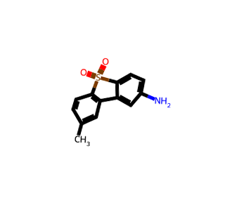 Cc1ccc2c(c1)-c1cc(N)ccc1S2(=O)=O